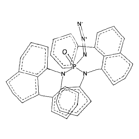 [N-]=[N+]=NP1(=O)N(c2cccc3cccc(-c4ccccc4)c23)c2ccccc2N1c1cccc2cccc(-c3ccccc3)c12